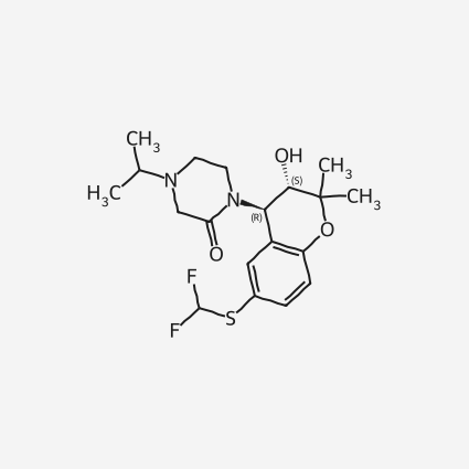 CC(C)N1CCN([C@@H]2c3cc(SC(F)F)ccc3OC(C)(C)[C@H]2O)C(=O)C1